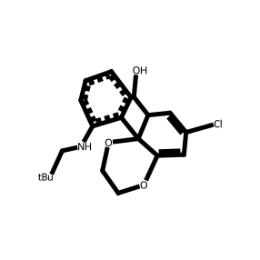 CC(C)(C)CNc1ccccc1C12OCCOC1=CC(Cl)=CC2CO